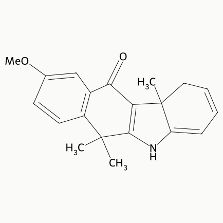 COc1ccc2c(c1)C(=O)C1=C(NC3=CC=CCC31C)C2(C)C